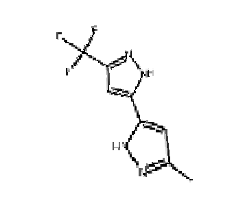 Cc1cc(-c2cc(C(F)(F)F)n[nH]2)[nH]n1